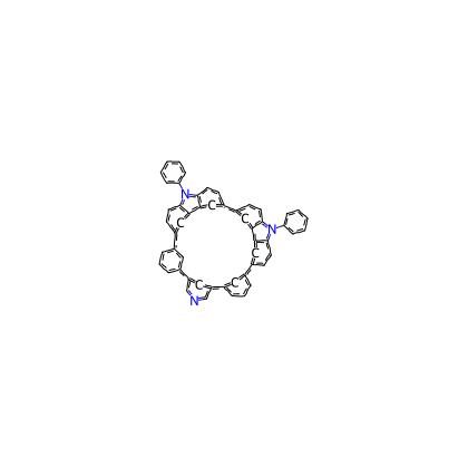 c1ccc(-n2c3ccc4cc3c3cc(ccc32)c2ccc3c(c2)c2cc(ccc2n3-c2ccccc2)c2cccc(c2)c2cncc(c2)c2cccc4c2)cc1